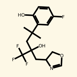 CC(C)(CC(O)(CC1COC=N1)C(F)(F)F)c1cc(F)ccc1O